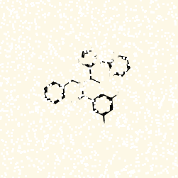 CC(c1ncnn1-c1ncccn1)N(Cc1ccccc1)C(=O)c1cc(Cl)cc(C(F)(F)F)c1